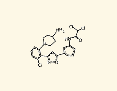 NC1CCN(c2cccc(Cl)c2-c2cc(-c3cccc(NC(=O)C(Cl)Cl)c3)on2)CC1